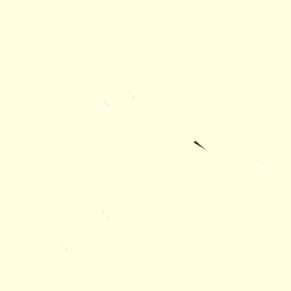 C1CNCCN1.CS(=O)(=O)OC(=O)c1cccc2cn(-c3ccc([C@@H]4CCCNC4)cc3)nc12